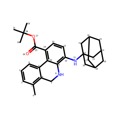 Cc1cccc2c1CNc1c(NC34CC5CC(CC(C5)C3)C4)ccc(C(=O)OC(C)(C)C)c1-2